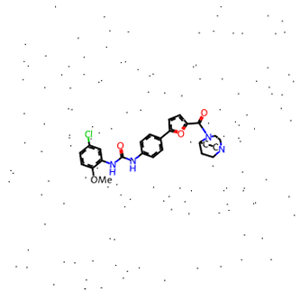 COc1ccc(Cl)cc1NC(=O)Nc1ccc(-c2ccc(C(=O)N3CCN4CCC3CC4)o2)cc1